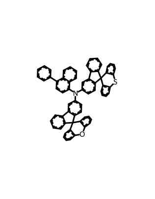 c1ccc(-c2ccc(N(c3ccc4c(c3)-c3ccccc3C43c4ccccc4Oc4ccccc43)c3ccc4c(c3)-c3ccccc3C43c4ccccc4Sc4ccccc43)c3ccccc23)cc1